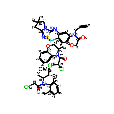 C#CCN1C(=O)COc2cc(F)c(/N=c3\snc4n3CC(C)(C)C4)cc21.CC1COc2ccccc2N1C(=O)C(Cl)Cl.CCc1cccc(C)c1N(C(=O)CCl)C(C)COC